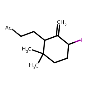 C=C1C(I)CCC(C)(C)C1CCC(C)=O